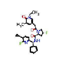 CCn1cc(CC(=O)N2C[C@H](F)C[C@H]2C(=O)N[C@@H](c2ccccc2)c2ccc(C3CC3)c(F)n2)cc(C)c1=O